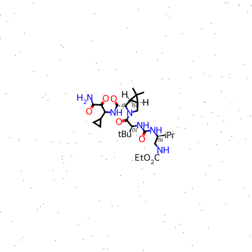 CCOC(=O)NC[C@@H](NC(=O)N[C@H](C(=O)N1C[C@H]2[C@@H]([C@H]1C(=O)NC(C(=O)C(N)=O)C1CC1)C2(C)C)C(C)(C)C)C(C)C